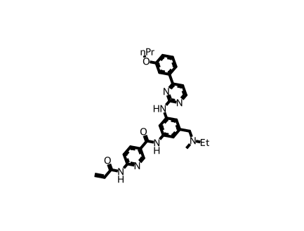 C=CC(=O)Nc1ccc(C(=O)Nc2cc(CN(C)CC)cc(Nc3nccc(-c4cccc(OCCC)c4)n3)c2)cn1